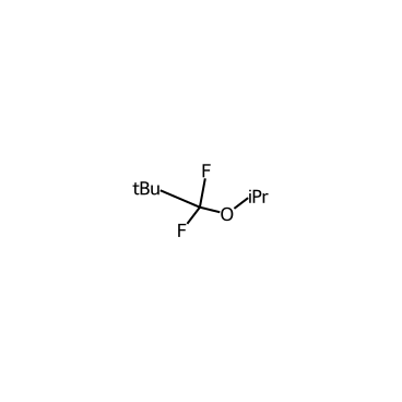 CC(C)OC(F)(F)C(C)(C)C